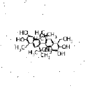 CCc1c(O)c(O)cc2c(O)c(-c3c(C(C)(C)C)cc4c(CC)c(O)c(O)cc4c3O)c(C(C)(C)C)cc12